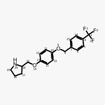 FC(F)(F)c1ccc(COc2ccc(OCC3CCCN3)cc2)cc1